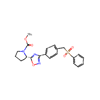 CC(C)(C)OC(=O)N1CCC[C@H]1c1nc(-c2ccc(CS(=O)(=O)c3ccccc3)cc2)no1